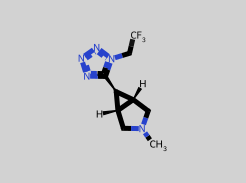 CN1C[C@@H]2[C@H](C1)[C@H]2c1nnnn1CC(F)(F)F